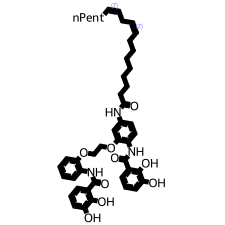 CCCCC/C=C\C/C=C\CCCCCCCC(=O)Nc1ccc(NC(=O)c2cccc(O)c2O)c(OCCOc2ccccc2NC(=O)c2cccc(O)c2O)c1